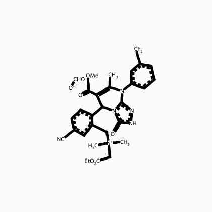 CCOC(=O)C[N+](C)(C)Cc1cc(C#N)ccc1C1C(C(=O)OC)=C(C)N(c2cccc(C(F)(F)F)c2)c2n[nH]c(=O)n21.O=C[O-]